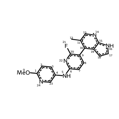 COc1ccc(Nc2ccc(-c3c(C)cnc4[nH]c[c]c34)c(F)n2)cn1